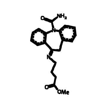 COC(=O)CCCN=C1Cc2ccccc2N(C(N)=O)c2ccccc21